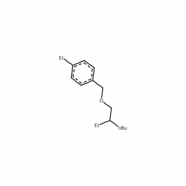 CCCCC(CC)COCc1ccc(CC)cc1